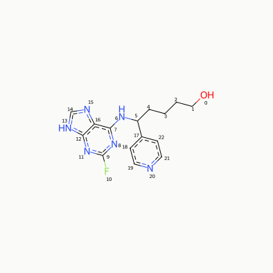 OCCCCC(Nc1nc(F)nc2[nH]cnc12)c1ccncc1